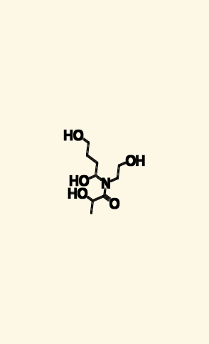 CC(O)C(=O)N(CCO)C(O)CCCO